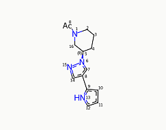 CC(=O)N1CCC[C@@H](n2cc(-c3ccc[nH]3)cn2)C1